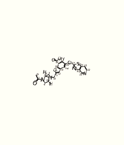 CC(=O)N1C[C@@H]2C[C@H]1CN2Cc1cc2cc(Oc3nc4cnccc4s3)ccc2o1.O=CO